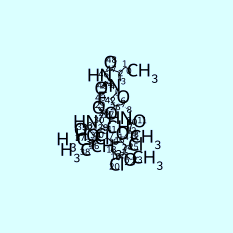 CCc1cn([C@@H]2O[C@H](CNC(=O)[C@H](C)Oc3c(Cl)cc(Cl)c(OC)c3Cl)[C@@H](OC(=O)[C@@H](NC(=O)OC(C)(C)C)C(C)C)[C@@H]2F)c(=O)[nH]c1=O